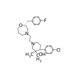 CC1(C)CN(CCN2CCCO[C@H](Cc3ccc(F)cc3)C2)CC[C@@]1(O)c1ccc(Cl)cc1